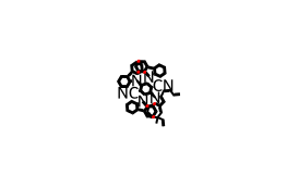 C=C/C=C\c1cc2c(n1-c1c(C#N)c(-n3c4ccccc4c4ccccc43)c(-n3c4ccccc4c4ccccc43)c(C#N)c1-n1c3ccccc3c3ccccc31)=CC=CC(C)(C=C)C=2